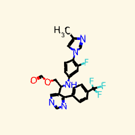 Cc1cn(-c2ccc(NC(COC=O)c3cncnc3-c3ccc(C(F)(F)F)cc3)cc2F)cn1